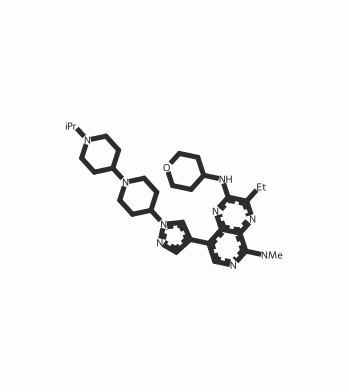 CCc1nc2c(NC)ncc(-c3cnn(C4CCN(C5CCN(C(C)C)CC5)CC4)c3)c2nc1NC1CCOCC1